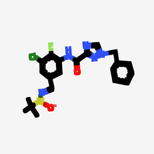 CC(C)(C)[S+]([O-])N=Cc1cc(Cl)c(F)c(NC(=O)c2ncn(Cc3ccccc3)n2)c1